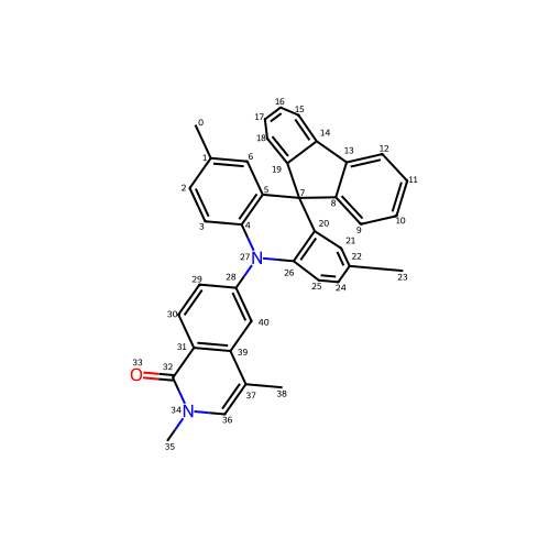 Cc1ccc2c(c1)C1(c3ccccc3-c3ccccc31)c1cc(C)ccc1N2c1ccc2c(=O)n(C)cc(C)c2c1